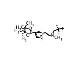 CN(CCn1cc(B2OC(C)(C)C(C)(C)O2)cn1)CC(F)(F)F